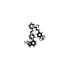 O=C(/C=C/c1ccc2c(c1)OCO2)N1CCCC[C@H]1CCN1CCN(c2cccc3cc[nH]c23)CC1